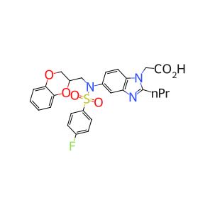 CCCc1nc2cc(N(CC3COc4ccccc4O3)S(=O)(=O)c3ccc(F)cc3)ccc2n1CC(=O)O